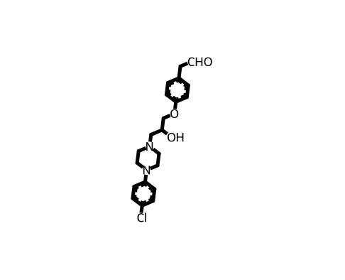 O=CCc1ccc(OCC(O)CN2CCN(c3ccc(Cl)cc3)CC2)cc1